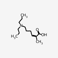 CCCN(CCC)CCCC=C(C)C(=O)O